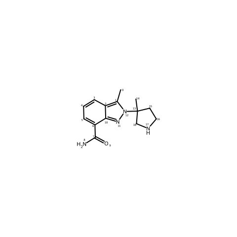 Cc1c2cccc(C(N)=O)c2nn1C1(C)CCNC1